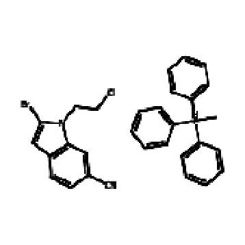 C[PH](c1ccccc1)(c1ccccc1)c1ccccc1.N#Cc1ccc2cc(Br)n(CCCl)c2c1